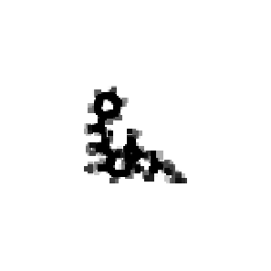 CC(C)(C)OC(=O)N[C@@H]1C(=O)N2C(C(=O)OC(=O)c3ccccc3)=C(O)CC[C@H]12